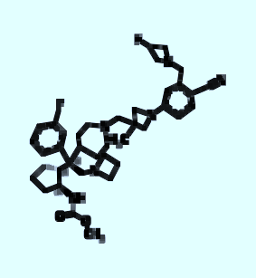 COC(=O)N[C@H]1CCC[C@@H]1[C@](CN1CCC1)(c1cccc(F)c1)C1CCN(CC2(C)CN(c3ccc(C#N)c(CN4CC(F)C4)c3)C2)CC1